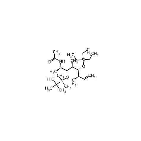 C=C[C@@H](C)[C@@H](O[Si](CC)(CC)CC)[C@H](C)[C@H](O[Si](C)(C)C(C)(C)C)[C@@H](C)NC(C)=O